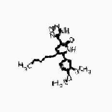 CCCCCc1cc(-c2nnn[nH]2)c(=O)[nH]c1-c1ccc(OC)c(OC)c1